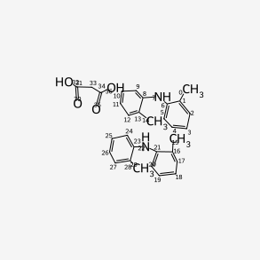 Cc1ccccc1Nc1ccccc1C.Cc1ccccc1Nc1ccccc1C.O=C(O)CC(=O)O